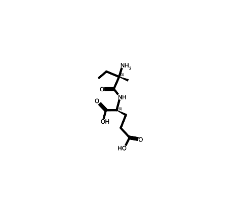 CC[C@](C)(N)C(=O)N[C@@H](CCC(=O)O)C(=O)O